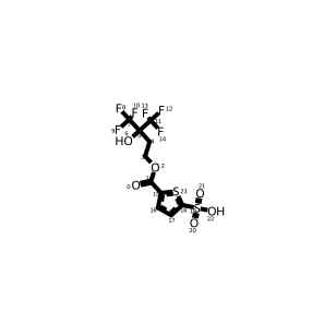 O=C(OCCC(O)(C(F)(F)F)C(F)(F)F)c1ccc(S(=O)(=O)O)s1